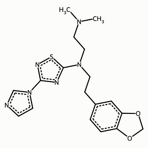 CN(C)CCN(CCc1ccc2c(c1)OCO2)c1nc(-n2ccnc2)ns1